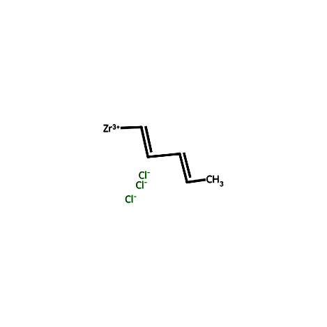 CC=CC=[CH][Zr+3].[Cl-].[Cl-].[Cl-]